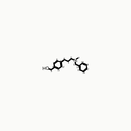 CN(CCCc1ccc(CO)cc1)Cc1ccccc1